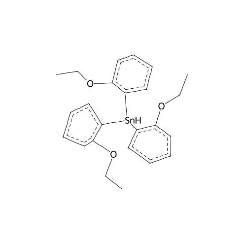 CCOc1cccc[c]1[SnH]([c]1ccccc1OCC)[c]1ccccc1OCC